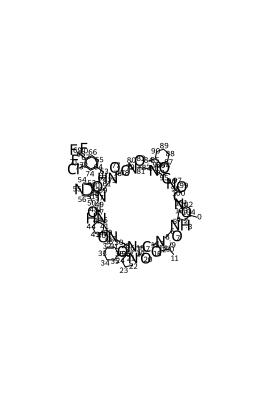 CC[C@H](C)[C@@H]1NC(=O)[C@H](CC(C)C)N(C)C(=O)C[C@@H](C(=O)N2CCCC2)N(C)C(=O)[C@H](C2CCCCC2)N(C)C(=O)C2(CCCC2)NC(=O)[C@H](Cc2cccnc2)N(C)C(=O)[C@H](CCc2ccc(C(F)(F)F)c(Cl)c2)NC(=O)CN(C)C(=O)[C@H](CC2CCCCC2)N(C)C(=O)CN(C)C(=O)CN(C)C1=O